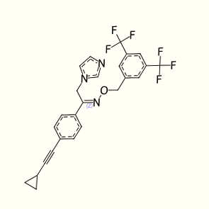 FC(F)(F)c1cc(CO/N=C(\Cn2ccnc2)c2ccc(C#CC3CC3)cc2)cc(C(F)(F)F)c1